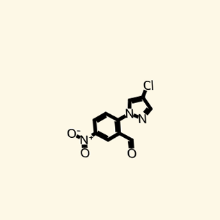 O=Cc1cc([N+](=O)[O-])ccc1-n1cc(Cl)cn1